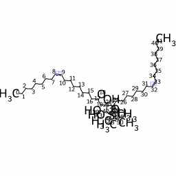 CCCCCCCC/C=C\CCCCCCCC(=O)C(O)C(O)(C(=O)CCCCCCC/C=C\CCCCCCCC)C(O)[Si](C)(C)C(C)(C)C